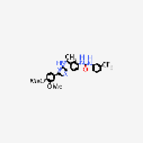 COc1ccc(-c2cncc(N[C@@H](C)c3cccc(NC(=O)Nc4cccc(C(F)(F)F)c4)c3)n2)cc1OC